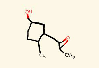 CC1CCC(O)CC1C1OC1C